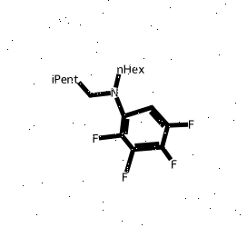 CCCCCCN(CC(C)CCC)c1cc(F)c(F)c(F)c1F